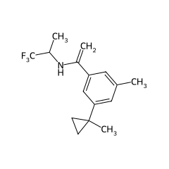 C=C(NC(C)C(F)(F)F)c1cc(C)cc(C2(C)CC2)c1